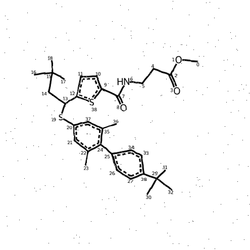 COC(=O)CCNC(=O)c1ccc(C(CC(C)(C)C)Sc2cc(C)c(-c3ccc(C(C)(C)C)cc3)c(C)c2)s1